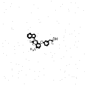 CC(=O)N(Cc1cc(C)ccc1Oc1cccc(CC(=O)O)c1)[C@@H]1CCc2ccccc21